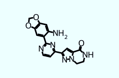 Nc1cc2c(cc1-c1nccc(-c3cc4n(n3)CCNC4=O)n1)OCO2